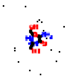 NC(=O)C(N)=O.OCCNCCO